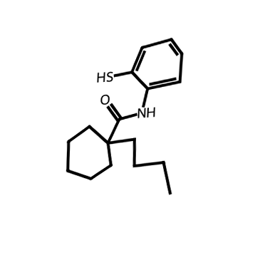 CCCCC1(C(=O)Nc2ccccc2S)CCCCC1